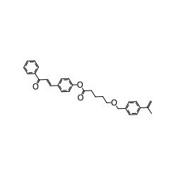 C=C(C)c1ccc(COCCCCC(=O)Oc2ccc(C=CC(=O)c3ccccc3)cc2)cc1